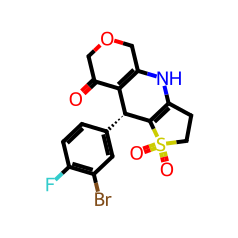 O=C1COCC2=C1[C@@H](c1ccc(F)c(Br)c1)C1=C(CCS1(=O)=O)N2